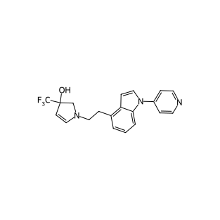 OC1(C(F)(F)F)C=CN(CCc2cccc3c2ccn3-c2ccncc2)C1